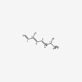 C=C/C(C)=C/C=N/C(C)C(C)C